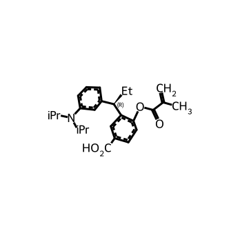 C=C(C)C(=O)Oc1ccc(C(=O)O)cc1[C@H](CC)c1cccc(N(C(C)C)C(C)C)c1